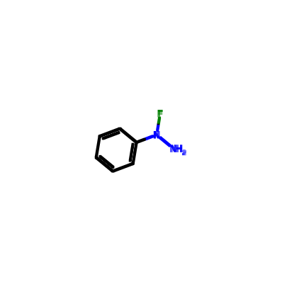 NN(F)c1ccccc1